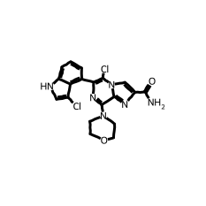 NC(=O)c1cn2c(Cl)c(-c3cccc4[nH]cc(Cl)c34)nc(N3CCOCC3)c2n1